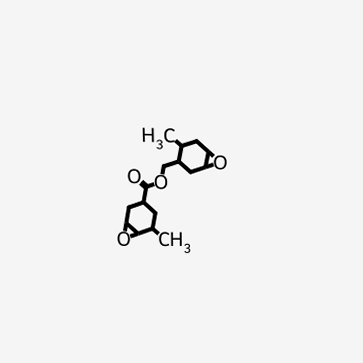 CC1CC2OC2CC1COC(=O)C1CC(C)C2OC2C1